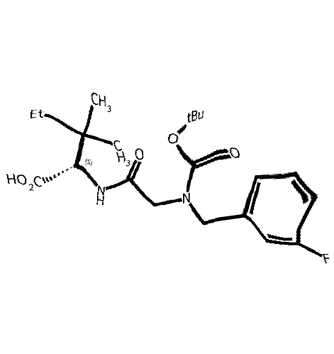 CCC(C)(C)[C@H](NC(=O)CN(Cc1cccc(F)c1)C(=O)OC(C)(C)C)C(=O)O